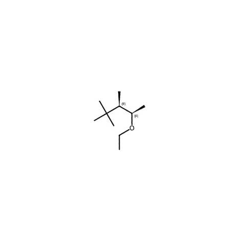 CCO[C@H](C)[C@H](C)C(C)(C)C